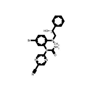 CN(C[C@H](O)c1ccccc1)c1ccc(Br)cc1N(C(N)=O)c1cnc(C#N)cn1